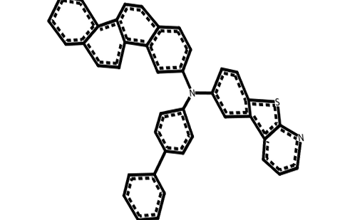 c1ccc(-c2ccc(N(c3ccc4ccc5c6ccccc6ccc5c4c3)c3ccc4sc5ncccc5c4c3)cc2)cc1